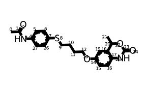 CC(=O)Nc1ccc(SCCCCOc2ccc3c(c2)C(C)OC(=O)N3)cc1